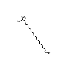 CC(C)OCCCCCCCCCCCCC=CCC(O)C(=O)O